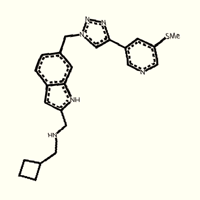 CSc1cncc(-c2cn(Cc3ccc4cc(CNCC5CCC5)[nH]c4c3)nn2)c1